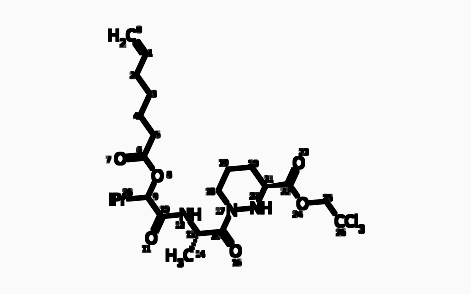 C=CCCCCC(=O)OC(C(=O)N[C@@H](C)C(=O)N1CCC[C@@H](C(=O)OCC(Cl)(Cl)Cl)N1)C(C)C